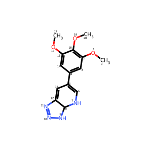 COc1cc(C2=CNC3NN=NC3=C2)cc(OC)c1OC